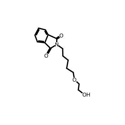 O=C1c2ccccc2C(=O)N1CCCCCOCCO